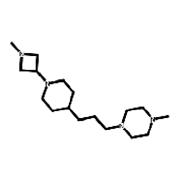 CN1CCN(CCCC2CCN(C3CN(C)C3)CC2)CC1